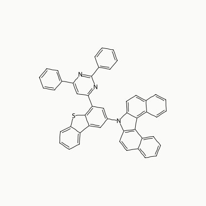 c1ccc(-c2cc(-c3cc(-n4c5ccc6ccccc6c5c5c6ccccc6ccc54)cc4c3sc3ccccc34)nc(-c3ccccc3)n2)cc1